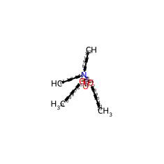 C#CC#CC#CN(C#CC#CC#C)CP(=O)(OC#CC#CC#CC)OC#CC#CC#CC